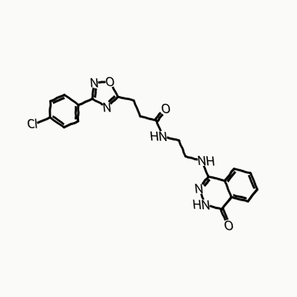 O=C(CCc1nc(-c2ccc(Cl)cc2)no1)NCCNc1n[nH]c(=O)c2ccccc12